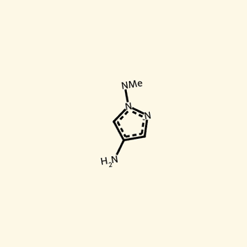 CNn1cc(N)cn1